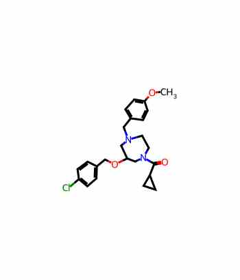 COc1ccc(CN2CCN(C(=O)C3CC3)CC(OCc3ccc(Cl)cc3)C2)cc1